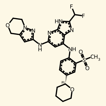 CS(=O)(=O)c1cc([C@H]2CCCCO2)ccc1Nc1cc(Nc2cc3n(n2)CCOC3)nc2[nH]c(C(F)F)nc12